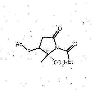 CCC(=O)N1C(=O)CC(SC(C)=O)[C@@]1(C)C(=O)O